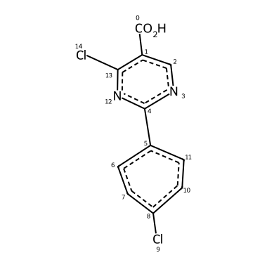 O=C(O)c1cnc(-c2ccc(Cl)cc2)nc1Cl